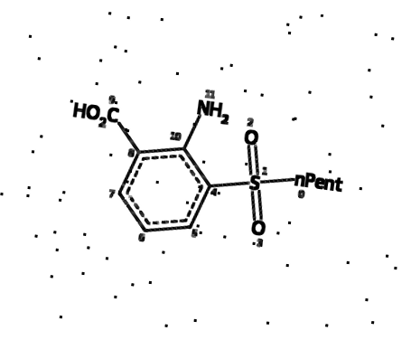 CCCCCS(=O)(=O)c1cccc(C(=O)O)c1N